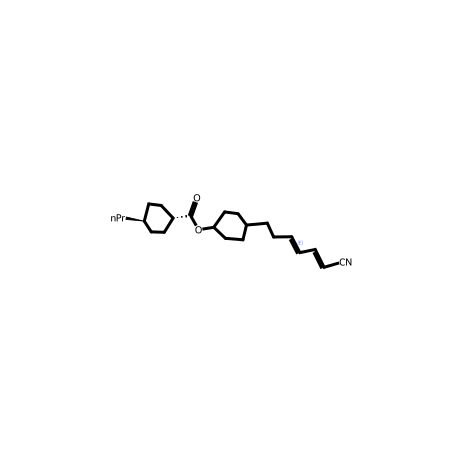 CCC[C@H]1CC[C@H](C(=O)OC2CCC(CC/C=C/C=CC#N)CC2)CC1